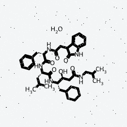 CC(C)CNC(=O)C[C@H](O)[C@H](CC1CCCCC1)NC(=O)[C@H](CC(C)C)NC(=O)[C@H](Cc1ccccc1)NC(=O)CC1C(=O)Nc2ccccc21.O